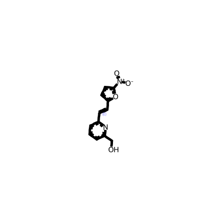 O=[N+]([O-])c1ccc(/C=C/c2cccc(CO)n2)o1